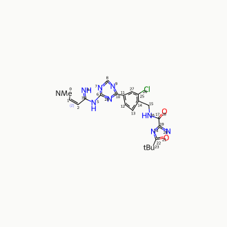 CN/C=C\C(=N)Nc1ncnc(-c2ccc(CNC(=O)c3noc(C(C)(C)C)n3)c(Cl)c2)n1